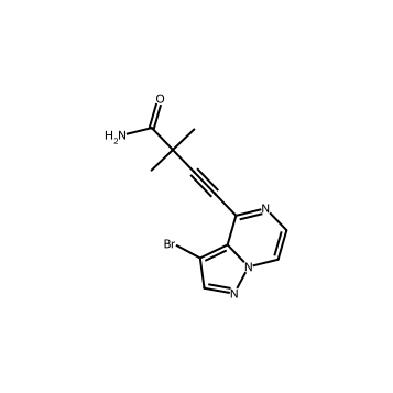 CC(C)(C#Cc1nccn2ncc(Br)c12)C(N)=O